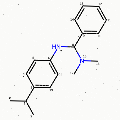 CC(C)c1ccc(NC(c2ccccc2)N(C)C)cc1